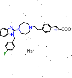 O=C([O-])/C=C/c1ccc(CCN2CCCN(c3nc4ccccc4n3Cc3ccc(F)cc3)CCC2)cc1.[Na+]